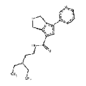 CCN(CC)CCNC(=O)c1cc(-c2cccnc2)n2c1CSC2